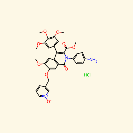 COC(=O)c1c(-c2cc(OC)c(OC)c(OC)c2)c2cc(OC)c(OCc3ccc[n+]([O-])c3)cc2c(=O)n1-c1ccc(N)cc1.Cl